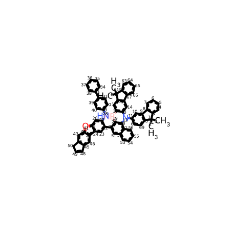 CC1(C)c2ccccc2-c2cc(N3c4cc5c(cc4Bc4c(-c6cc7c(cc6Nc6ccc(-c8ccccc8)cc6)oc6cc8c(cc67)C=CC8)cc6ccccc6c43)C(C)(C)c3ccccc3-5)ccc21